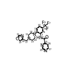 O=C(Nc1cc(C(F)(F)F)ccc1N1CCN(Cc2cocn2)CC1)c1ccncn1